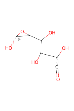 O=C=C(O)C(O)C(O)C1O[C@H]1O